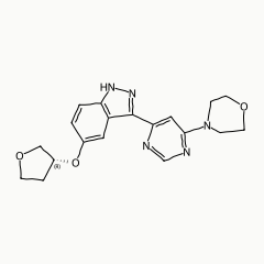 c1nc(-c2n[nH]c3ccc(O[C@@H]4CCOC4)cc23)cc(N2CCOCC2)n1